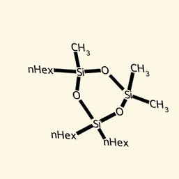 CCCCCC[Si]1(C)O[Si](C)(C)O[Si](CCCCCC)(CCCCCC)O1